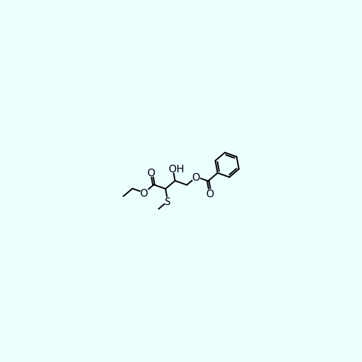 CCOC(=O)C(SC)C(O)COC(=O)c1ccccc1